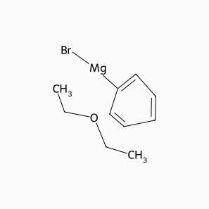 CCOCC.[Br][Mg][c]1ccccc1